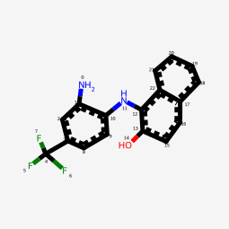 Nc1cc(C(F)(F)F)ccc1Nc1c(O)ccc2ccccc12